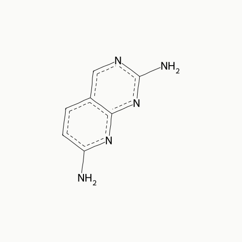 Nc1ccc2cnc(N)nc2n1